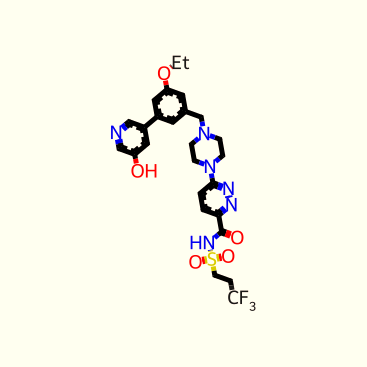 CCOc1cc(CN2CCN(c3ccc(C(=O)NS(=O)(=O)CCC(F)(F)F)nn3)CC2)cc(-c2cncc(O)c2)c1